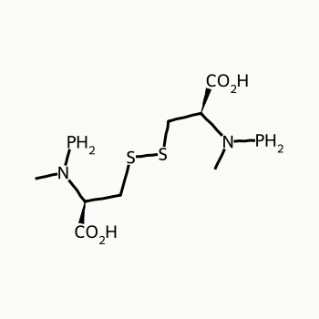 CN(P)[C@@H](CSSC[C@@H](C(=O)O)N(C)P)C(=O)O